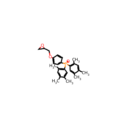 Cc1cc(C)c(P(=O)(c2ccc(OCC3CO3)cc2)c2cc(C)c(C)cc2C)cc1C